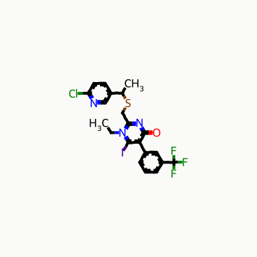 CCn1c(CSC(C)c2ccc(Cl)nc2)nc(=O)c(-c2cccc(C(F)(F)F)c2)c1I